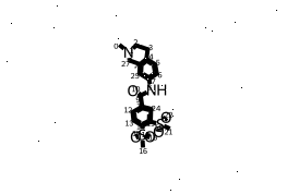 CN1CCc2ccc(NC(=O)c3ccc(S(C)(=O)=O)c(S(C)(=O)=O)c3)cc2C1